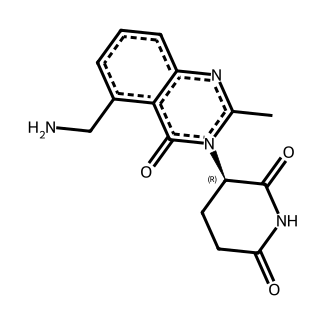 Cc1nc2cccc(CN)c2c(=O)n1[C@@H]1CCC(=O)NC1=O